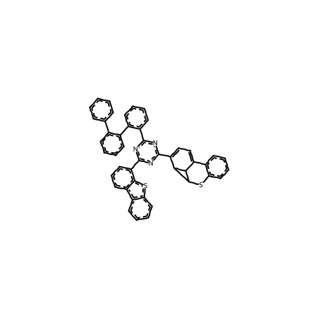 C1=C(c2nc(-c3ccccc3-c3ccccc3-c3ccccc3)nc(-c3cccc4c3sc3ccccc34)n2)C2C3Sc4ccccc4C(=C1)C32